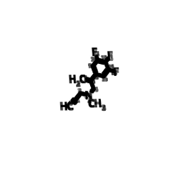 C#CCN(C)CC(=C)c1cc(F)c(F)c(F)c1